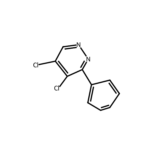 Clc1cnnc(-c2ccccc2)c1Cl